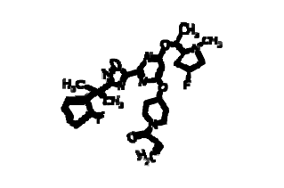 C=CC(=O)N1CCC(Oc2cc(O[C@@H](C)[C@@H]3C[C@H](F)CN3C)nc(-c3nc(C(C)(C)c4ccccc4F)no3)n2)CC1